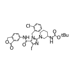 CC(C)(C)OC(=O)N[C@@H]1CCCN(c2nc(I)c(C(=O)Nc3ccc4c(c3)C(=O)OC4)n2Cc2ccccc2Cl)C1